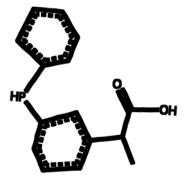 CC(C(=O)O)c1cccc(Pc2ccccc2)c1